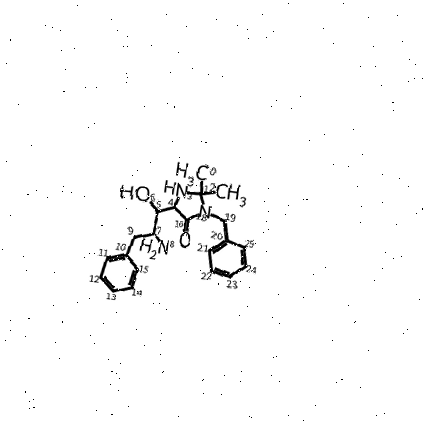 CC1(C)NC(C(O)[C@@H](N)Cc2ccccc2)C(=O)N1Cc1ccccc1